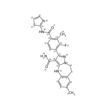 Cc1ccc2c(c1)CCn1nc(-c3ccc(C(=O)Nc4nccs4)c(C)c3F)c(C(N)=O)c1N2